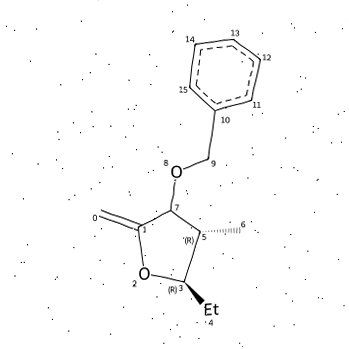 C=C1O[C@H](CC)[C@@H](C)C1OCc1ccccc1